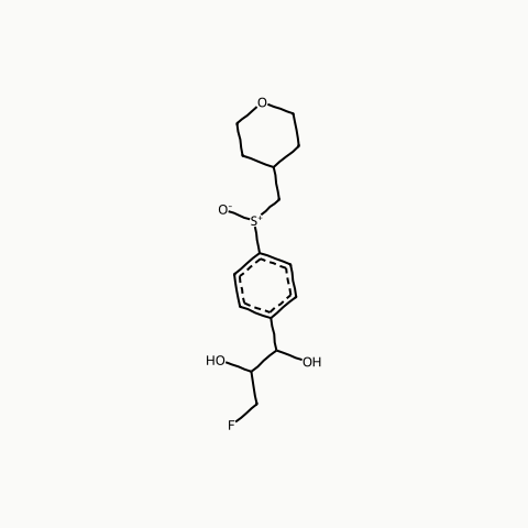 [O-][S+](CC1CCOCC1)c1ccc(C(O)C(O)CF)cc1